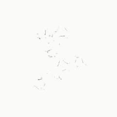 CN(Cc1ncccc1F)C(=O)c1cc(-c2ncco2)cc(-c2nnc(C(C)(Cc3ccccc3)NC(=O)OC(C)(C)C)o2)c1